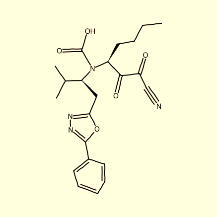 CCCC[C@@H](C(=O)C(=O)C#N)N(C(=O)O)[C@@H](Cc1nnc(-c2ccccc2)o1)C(C)C